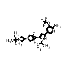 CC(C)n1nc(-c2cnc(N)c(OC(F)(F)F)c2)cc1[C@H]1[C@@H]2CN(C3CN(C(C)(C)C)C3)C[C@@H]21